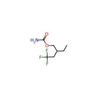 CCC(COC(N)=O)CC(F)(F)F